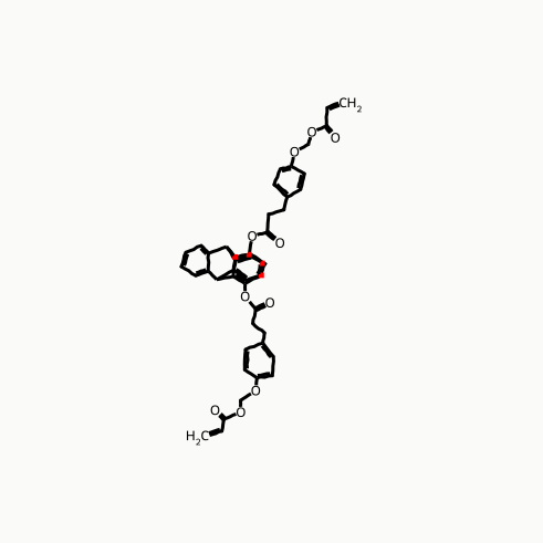 C=CC(=O)OCOc1ccc(CCC(=O)Oc2ccc(OC(=O)CCc3ccc(OCOC(=O)C=C)cc3)c3c2C2c4ccccc4C3c3ccccc32)cc1